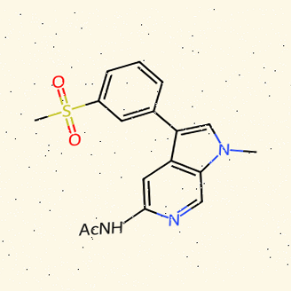 CC(=O)Nc1cc2c(-c3cccc(S(C)(=O)=O)c3)cn(C)c2cn1